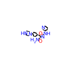 NC(=O)c1nc(Nc2cccnc2)oc1-c1ccc(N2CCNCC2)cc1